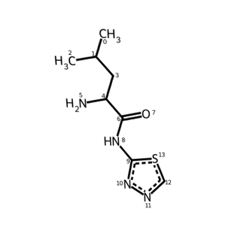 CC(C)CC(N)C(=O)Nc1nncs1